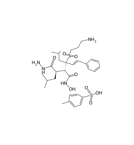 CC(C)C[C@@H](C(=O)NN)[C@@H](C(=O)NO)C(/C=C/c1ccccc1)(CC(C)C)S(=O)(=O)CCCN.Cc1ccc(S(=O)(=O)O)cc1